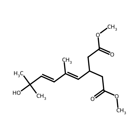 COC(=O)CC(/C=C(C)/C=C/C(C)(C)O)CC(=O)OC